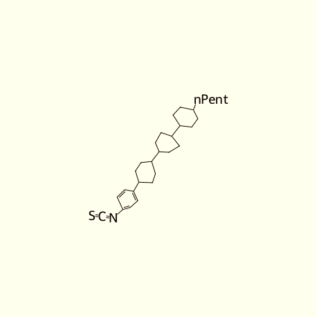 CCCCCC1CCC(C2CCC(C3CCC(c4ccc(N=C=S)cc4)CC3)CC2)CC1